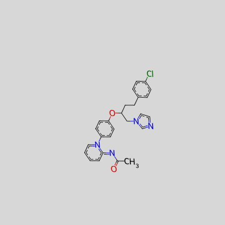 CC(=O)N=c1ccccn1-c1ccc(OC(CCc2ccc(Cl)cc2)Cn2ccnc2)cc1